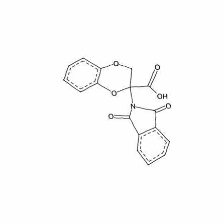 O=C1c2ccccc2C(=O)N1C1(C(=O)O)COc2ccccc2O1